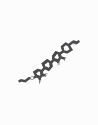 C/C=C/C1CCC(c2ccc(-c3ccc(-c4ccc(OCCCC)c(F)c4F)cc3)c(F)c2F)CC1